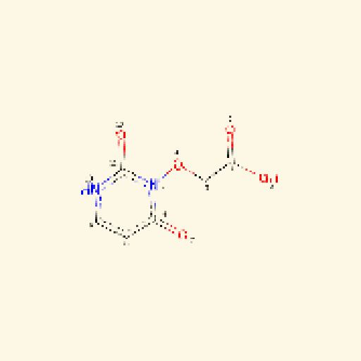 O=C(O)COn1c(=O)cc[nH]c1=O